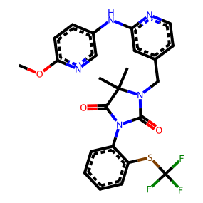 COc1ccc(Nc2cc(CN3C(=O)N(c4ccccc4SC(F)(F)F)C(=O)C3(C)C)ccn2)cn1